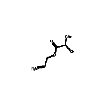 C=CCOC(=O)C(C#N)OC(C)=O